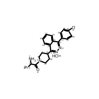 CC(C)C(N)C(=O)N1CCC(c2nnc(-c3ccc(Cl)cc3)c3ccccc23)CC1.Cl